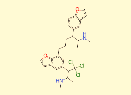 CNC(C)C(CCCc1cc(C(C(C)NC)C(Cl)(Cl)Cl)cc2ccoc12)c1ccc2occc2c1